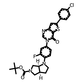 CC(C)(C)OC(=O)N1C[C@@H]2CCN(c3ccc(-n4cnc5cc(-c6ccc(Cl)cc6)sc5c4=O)cc3F)[C@@H]2C1